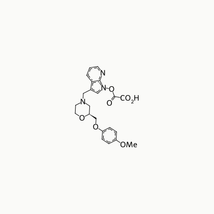 COc1ccc(OC[C@@H]2CN(Cc3cn(OC(=O)C(=O)O)c4ncccc34)CCO2)cc1